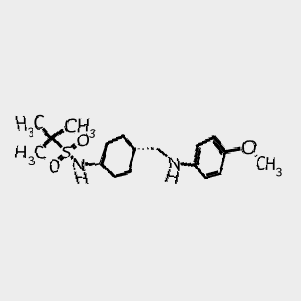 COc1ccc(NC[C@H]2CC[C@H](NS(=O)(=O)C(C)(C)C)CC2)cc1